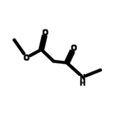 CNC(=O)CC(=O)OC